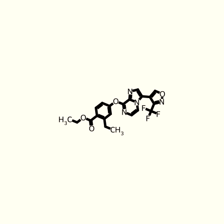 CCOC(=O)c1ccc(Oc2nccn3c(-c4conc4C(F)(F)F)cnc23)cc1CC